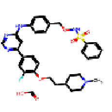 CN1CCC(CCOc2ccc(-c3cc(Nc4ccc(CONS(=O)(=O)c5ccccc5)cc4)ncn3)cc2F)CC1.O=CO